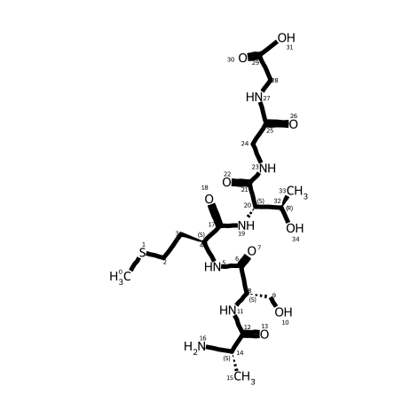 CSCC[C@H](NC(=O)[C@H](CO)NC(=O)[C@H](C)N)C(=O)N[C@H](C(=O)NCC(=O)NCC(=O)O)[C@@H](C)O